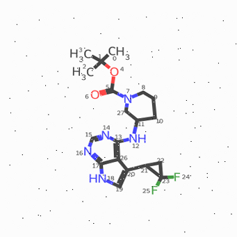 CC(C)(C)OC(=O)N1CCCC(Nc2ncnc3[nH]cc(C4CC4(F)F)c23)C1